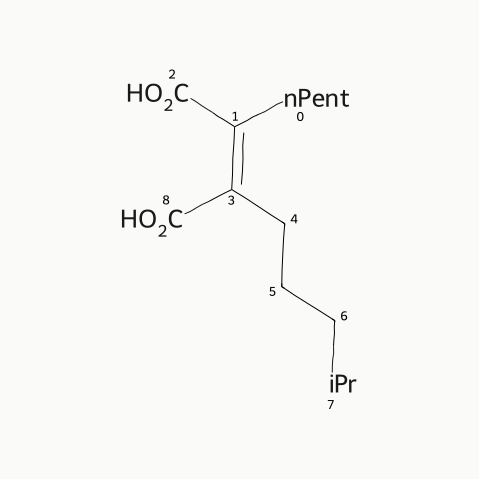 CCCCCC(C(=O)O)=C(CCCC(C)C)C(=O)O